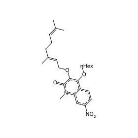 CCCCCCOc1c(OC/C=C(\C)CCC=C(C)C)c(=O)n(C)c2cc([N+](=O)[O-])ccc12